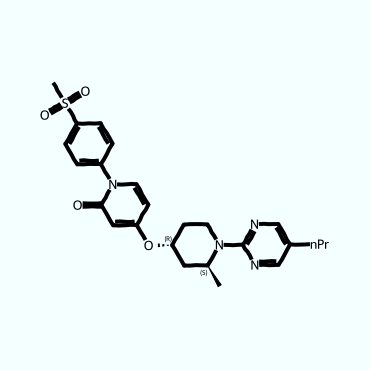 CCCc1cnc(N2CC[C@@H](Oc3ccn(-c4ccc(S(C)(=O)=O)cc4)c(=O)c3)C[C@@H]2C)nc1